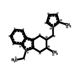 CCn1c2c(c3ccccc31)CC(Cn1cccc1C)C(C)C2